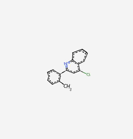 Cc1ccccc1-c1cc(Cl)c2ccccc2n1